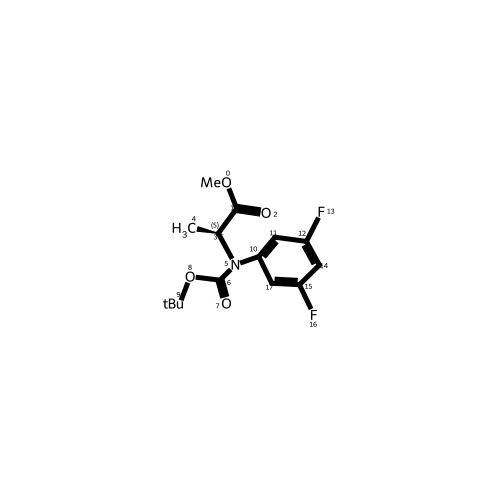 COC(=O)[C@H](C)N(C(=O)OC(C)(C)C)c1cc(F)cc(F)c1